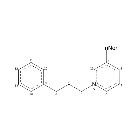 CCCCCCCCCc1ccc[n+](CCCc2ccccc2)c1